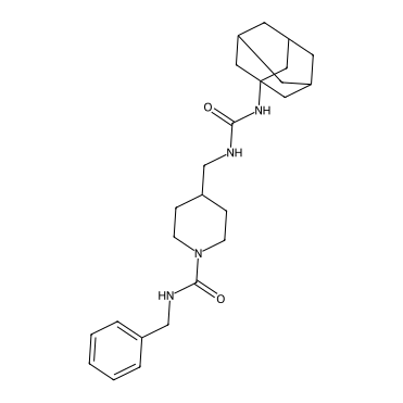 O=C(NCC1CCN(C(=O)NCc2ccccc2)CC1)NC12CC3CC(CC(C3)C1)C2